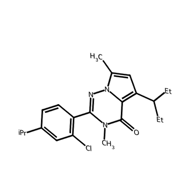 CCC(CC)c1cc(C)n2nc(-c3ccc(C(C)C)cc3Cl)n(C)c(=O)c12